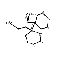 C=CC1(C2(CCC)CCCCC2)CCCCC1